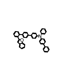 c1ccc(-c2ccc(N(c3ccccc3)c3ccc(-c4ccc(-c5ccccc5-c5cc6ccccc6o5)cc4)cc3)cc2)cc1